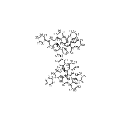 c1ccc(-c2ccc(N(c3ccc(-c4ccc(N(c5ccc(-c6ccccc6)cc5)c5cc6c(c7ccccc57)-c5ccccc5C65c6ccccc6-c6ccccc65)cc4)cc3)c3cc4c(c5ccccc35)-c3ccccc3C43c4ccccc4-c4ccccc43)cc2)cc1